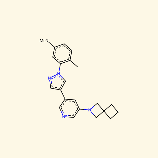 CNc1ccc(C)c(-n2cc(-c3cncc(N4CC5(CCC5)C4)c3)cn2)c1